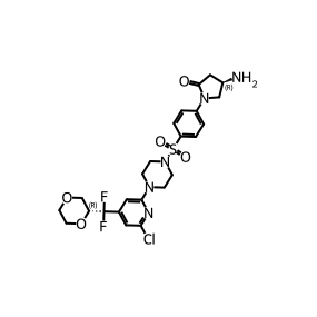 N[C@@H]1CC(=O)N(c2ccc(S(=O)(=O)N3CCN(c4cc(C(F)(F)[C@H]5COCCO5)cc(Cl)n4)CC3)cc2)C1